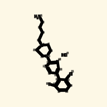 Cl.NCCCCN1CCN(c2ncc(-c3c(F)cccc3Cl)cn2)CC1